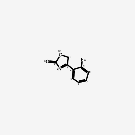 O=C1N=C(c2ccccc2F)CO1